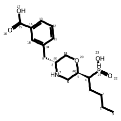 CCCCC([C@H]1CN[C@H](Cc2cccc(C(=O)O)c2)CO1)[PH](=O)O